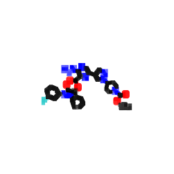 CC(C)(C)OC(=O)N1CCC(n2cc(-c3cnc(N)c(C(=O)O[C@@H](C(=O)Nc4cccc(F)c4)c4ccccc4)n3)cn2)CC1